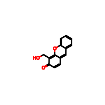 O=c1ccc2cc3ccccc3oc-2c1CO